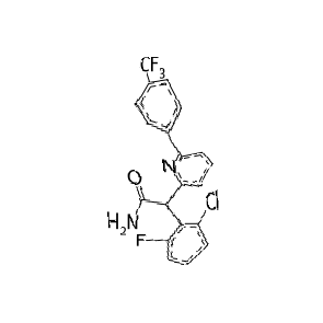 NC(=O)C(c1cccc(-c2ccc(C(F)(F)F)cc2)n1)c1c(F)cccc1Cl